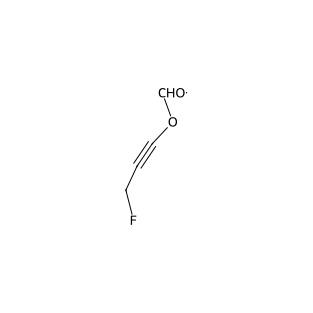 O=[C]OC#CCF